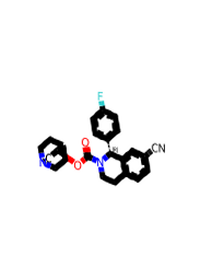 N#Cc1ccc2c(c1)[C@@H](c1ccc(F)cc1)N(C(=O)OC1CN3CCC1CC3)CC2